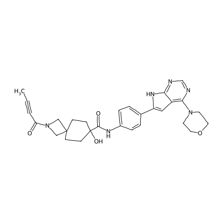 CC#CC(=O)N1CC2(CCC(O)(C(=O)Nc3ccc(-c4cc5c(N6CCOCC6)ncnc5[nH]4)cc3)CC2)C1